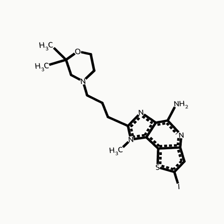 Cn1c(CCCN2CCOC(C)(C)C2)nc2c(N)nc3cc(I)sc3c21